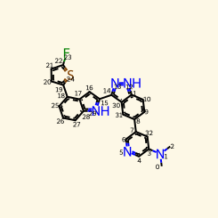 CN(C)c1cncc(-c2ccc3[nH]nc(-c4cc5c(-c6ccc(F)s6)cccc5[nH]4)c3c2)c1